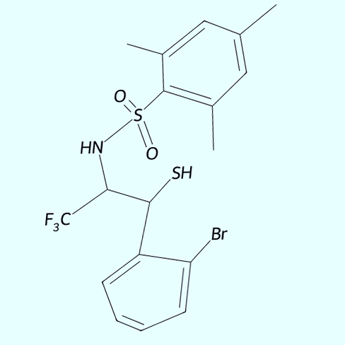 Cc1cc(C)c(S(=O)(=O)NC(C(S)c2ccccc2Br)C(F)(F)F)c(C)c1